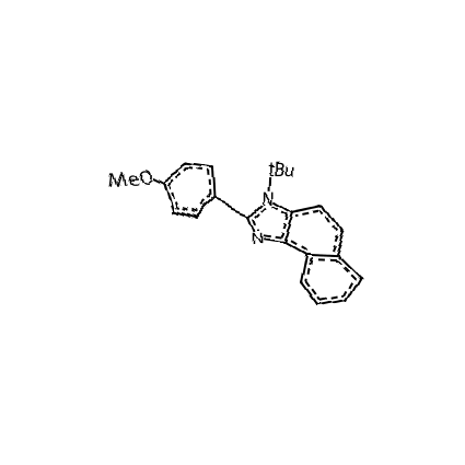 COc1ccc(-c2nc3c4ccccc4ccc3n2C(C)(C)C)cc1